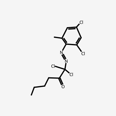 CCCCC(=O)C(Cl)(Cl)/N=N/c1c(C)cc(Cl)cc1Cl